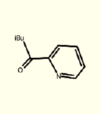 CCC(C)C(=O)c1ccccn1